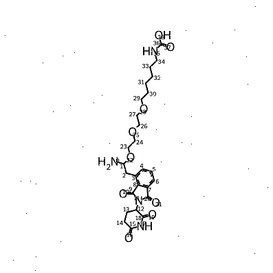 NC(Cc1cccc2c1C(=O)N(C1CCC(=O)NC1=O)C2=O)OCCOCCOCCCCCCNC(=O)O